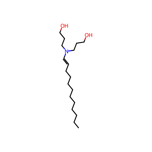 CCCCCCCCCCC=CN(CCCO)CCCO